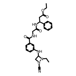 CCOC(=O)CC(NC(=O)CNC(=O)c1cccc(NC2CN(C#N)N2CC)c1)c1ccccc1